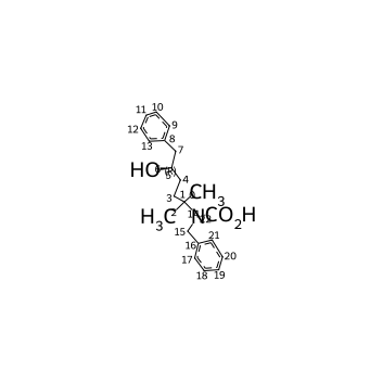 CC(C)(CC[C@@H](O)Cc1ccccc1)N(Cc1ccccc1)C(=O)O